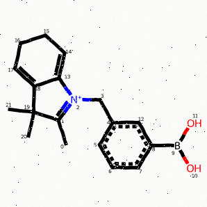 CC1=[N+](Cc2cccc(B(O)O)c2)C2=CCCC=C2C1(C)C